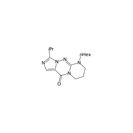 CCCCCCN1CCCn2c1nn1c(C(C)C)ncc1c2=O